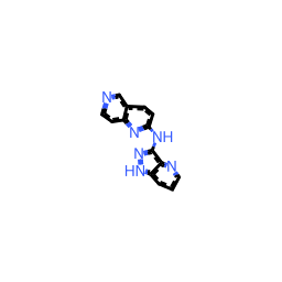 c1cnc2c(Nc3ccc4cnccc4n3)n[nH]c2c1